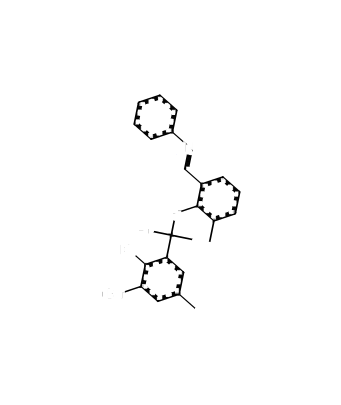 CCC(C)(Pc1c(C)cccc1/C=N/c1ccccc1)c1cc(C)cc(C(C)(C)C)c1O